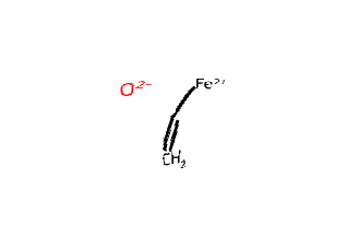 C=[CH][Fe+2].[O-2]